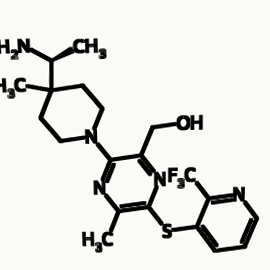 Cc1nc(N2CCC(C)([C@H](C)N)CC2)c(CO)nc1Sc1cccnc1C(F)(F)F